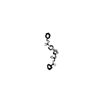 O=C(CSC(=O)c1ccccc1)[N-]c1c[n+](N2CCN(C(=O)OCc3ccccc3)CC2)no1